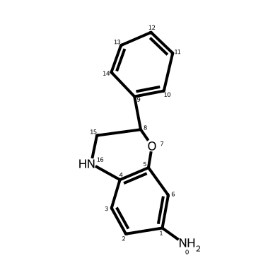 Nc1ccc2c(c1)OC(c1ccccc1)CN2